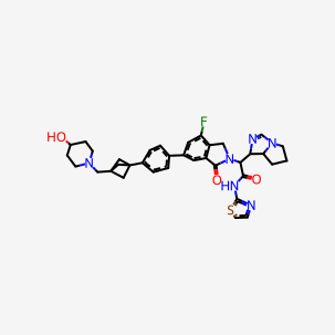 O=C(Nc1nccs1)C(C1N=CN2CCCC12)N1Cc2c(F)cc(-c3ccc(C45CC(CN6CCC(O)CC6)(C4)C5)cc3)cc2C1=O